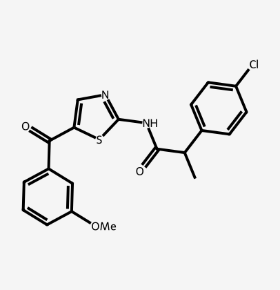 COc1cccc(C(=O)c2cnc(NC(=O)C(C)c3ccc(Cl)cc3)s2)c1